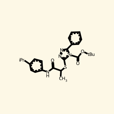 CC(Sc1nnc(-c2ccccc2)n1C(=O)OC(C)(C)C)C(=O)Nc1ccc(C(C)C)cc1